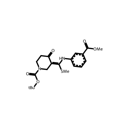 COC(=O)c1cccc(NC(SC)=C2CN(C(=O)OC(C)(C)C)CCC2=O)c1